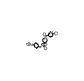 CC(C)(C)c1ccc(CN2CC3(CCN(C(=O)c4ccc(Cl)nc4)CC3)OC2=O)cc1